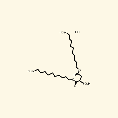 CCCCCCCCCCCCCCCCCCCCOC(=O)CC(C(=O)OCCCCCCCCCCCCCCCCCCCC)S(=O)(=O)O.[LiH]